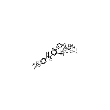 CC(C)(C)[Si](C)(C)O[C@@H]1CCN(c2ncc(C(=O)Nc3ccc(OC(F)(F)Cl)cc3)cc2C#N)C1